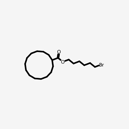 O=C(OCCCCCCBr)C1CCCCCCCCCCCCC1